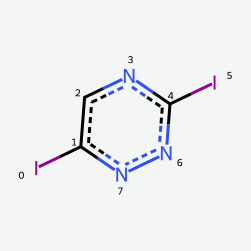 Ic1cnc(I)nn1